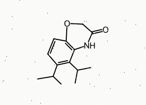 CC(C)c1ccc2c(c1C(C)C)NC(=O)CO2